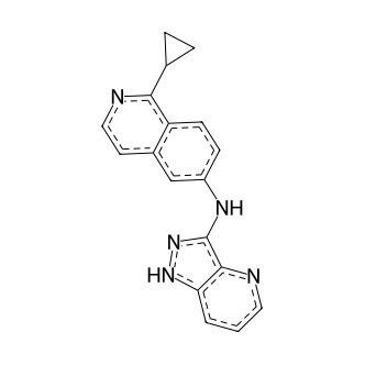 c1cnc2c(Nc3ccc4c(C5CC5)nccc4c3)n[nH]c2c1